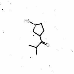 CC(C)C(=O)C1CCN(S)C1